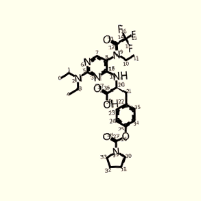 CCN(CC)c1ncc(N(CC)C(=O)C(F)(F)F)c(N[C@@H](Cc2ccc(OC(=O)N3CCCC3)cc2)C(=O)O)n1